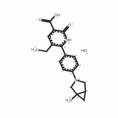 CCc1cc(C(=O)O)c(=O)[nH]c1-c1ccc(N2CC3CC3(N)C2)cc1.Cl